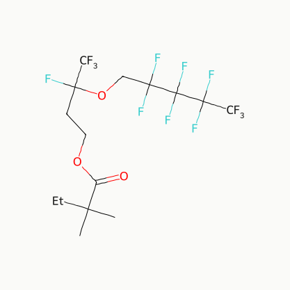 CCC(C)(C)C(=O)OCCC(F)(OCC(F)(F)C(F)(F)C(F)(F)C(F)(F)F)C(F)(F)F